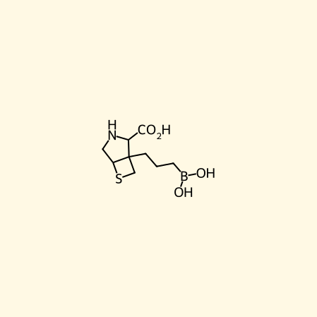 O=C(O)C1NCC2SCC21CCCB(O)O